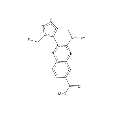 COC(=O)c1ccc2nc(-c3c[nH]nc3CF)c(N(C)C(C)C)nc2c1